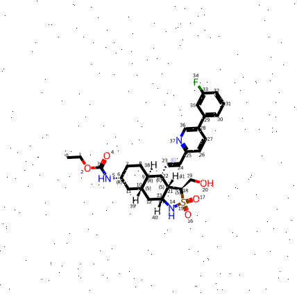 CCOC(=O)N[C@@H]1CC[C@@H]2[C@@H](C1)C[C@H]1NS(=O)(=O)[C@H](CO)[C@H]1[C@H]2/C=C/c1ccc(-c2cccc(F)c2)cn1